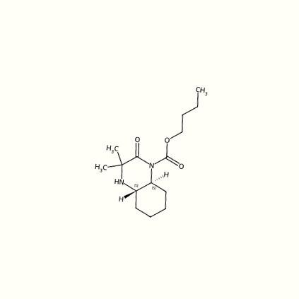 CCCCOC(=O)N1C(=O)C(C)(C)N[C@H]2CCCC[C@@H]21